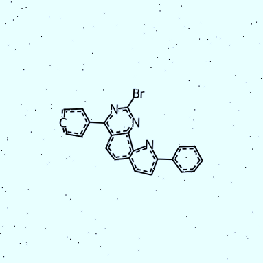 Brc1nc(-c2ccccc2)c2ccc3ccc(-c4ccccc4)nc3c2n1